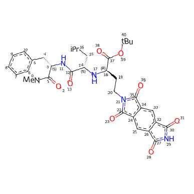 CNC(=O)[C@H](Cc1ccccc1)NC(=O)[C@H](CC(C)C)N[C@H](CCn1c(=O)c2cc3c(=O)[nH]c(=O)c3cc2c1=O)C(=O)OC(C)(C)C